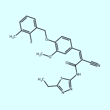 CCc1nnc(NC(=O)C(C#N)=Cc2ccc(OCc3cccc(C)c3F)c(OC)c2)s1